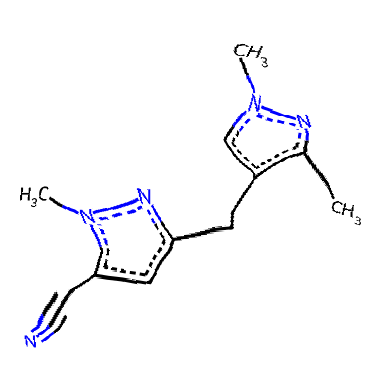 Cc1nn(C)cc1Cc1cc(C#N)n(C)n1